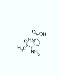 CC(=O)C(N)[C@H]1CC[C@@H](C(=O)O)N1